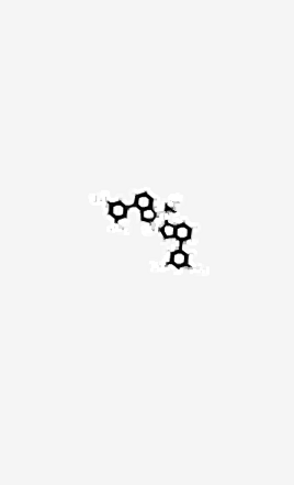 CC(C)(C)C1=Cc2c(-c3cc(C(C)(C)C)cc(C(C)(C)C)c3)cccc2[CH]1[Zr+2]1([CH]2C(C(C)(C)C)=Cc3c(-c4cc(C(C)(C)C)cc(C(C)(C)C)c4)cccc32)[CH2][CH2]1.[Cl-].[Cl-]